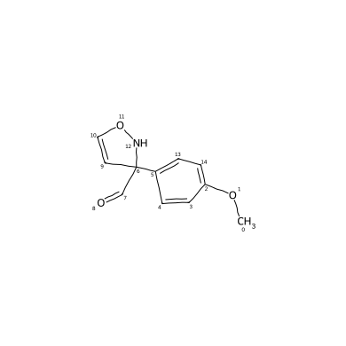 COc1ccc(C2(C=O)C=CON2)cc1